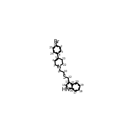 Brc1ccc(C2=CCN(CCSCc3c[nH]c4ccccc34)CC2)cc1